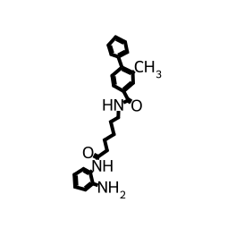 Cc1cc(C(=O)NCCCCCC(=O)Nc2ccccc2N)ccc1-c1ccccc1